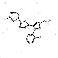 CCOC(=O)c1cc(-c2nnc(-c3cccc(C)c3)s2)n(-c2ccccc2Cl)n1